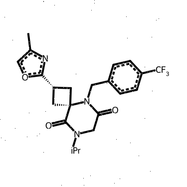 Cc1coc([C@H]2C[C@@]3(C2)C(=O)N(C(C)C)CC(=O)N3Cc2ccc(C(F)(F)F)cc2)n1